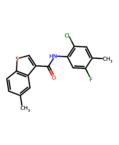 Cc1ccc2scc(C(=O)Nc3cc(F)c(C)cc3Cl)c2c1